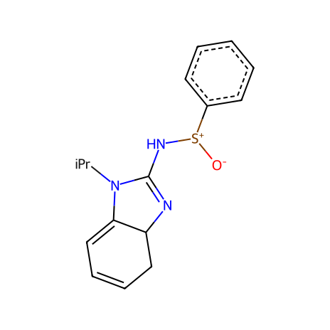 CC(C)N1C2=CC=CCC2N=C1N[S+]([O-])c1ccccc1